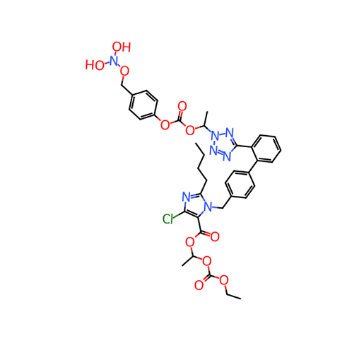 CCCCc1nc(Cl)c(C(=O)OC(C)OC(=O)OCC)n1Cc1ccc(-c2ccccc2-c2nnn(C(C)OC(=O)Oc3ccc(CON(O)O)cc3)n2)cc1